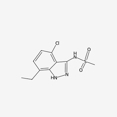 CCc1ccc(Cl)c2c(NS(C)(=O)=O)n[nH]c12